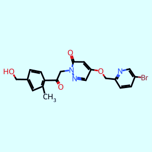 Cc1cc(CO)ccc1C(=O)Cn1ncc(OCc2ccc(Br)cn2)cc1=O